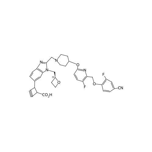 N#Cc1ccc(OCc2nc(OC3CCN(Cc4nc5ccc(C6C#CC6C(=O)O)cc5n4C[C@@H]4CCO4)CC3)ccc2F)c(F)c1